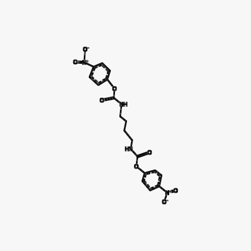 O=C(NCCCCNC(=O)Oc1ccc([N+](=O)[O-])cc1)Oc1ccc([N+](=O)[O-])cc1